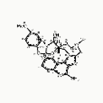 CCOCc1nc2c(N)nc3ccccc3c2n1C[C@@H](C)OP(=O)(Oc1ccc(OC)cc1)N(C)[C@@H](C)C(=O)OC(C)(C)C